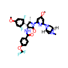 COc1cc(N2C[C@@H]3C[C@H]2CN3C)nc(N2C(=O)[C@@H](NC(=O)c3ccc(OC(F)F)cc3)[C@H](c3c(F)cc(OC)cc3F)[C@@H]2C)c1